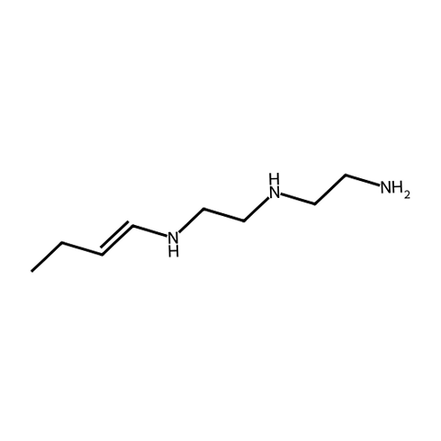 CCC=CNCCNCCN